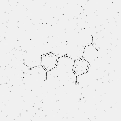 CSc1ccc(Oc2cc(Br)ccc2CN(C)C)cc1C